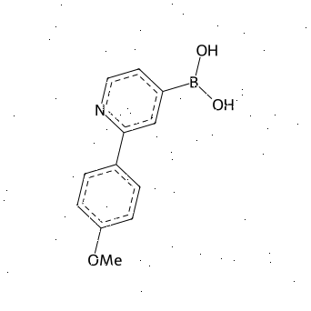 COc1ccc(-c2cc(B(O)O)ccn2)cc1